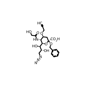 C#CCO[C@H]1C[C@](OCc2ccccc2)(C(=O)O)O[C@@H]([C@H](O)[C@H](O)CN=[N+]=[N-])[C@@H]1NC(=O)CO